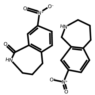 O=C1NCCCc2ccc([N+](=O)[O-])cc21.O=[N+]([O-])c1ccc2c(c1)CNCCC2